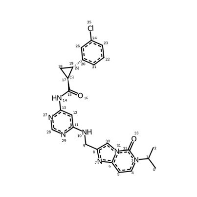 CC(C)n1ccc2nc(CNc3cc(NC(=O)[C@H]4C[C@@H]4c4cccc(Cl)c4)ncn3)cn2c1=O